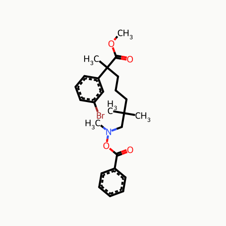 COC(=O)C(C)(CCCC(C)(C)CN(C)OC(=O)c1ccccc1)c1cccc(Br)c1